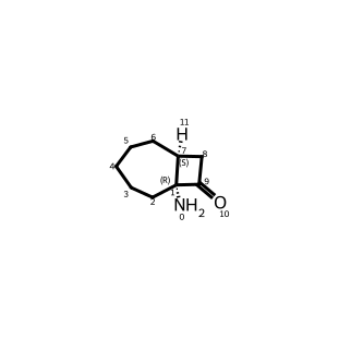 N[C@]12CCCCC[C@H]1CC2=O